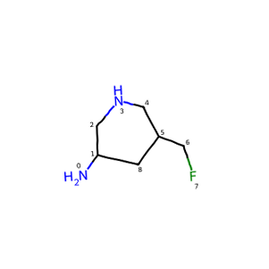 NC1CNCC(CF)C1